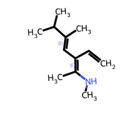 C=CC(/C=C(\C)C(C)C)=C(/C)NC